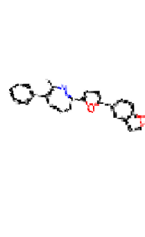 CC1=C(c2ccccc2)C=CCC(c2ccc(-c3ccc4occc4c3)o2)=N1